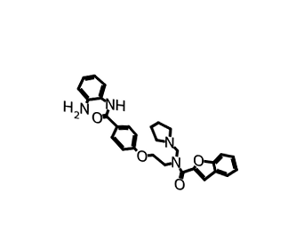 Nc1ccccc1NC(=O)c1ccc(OCCN(CN2CCCC2)C(=O)c2cc3ccccc3o2)cc1